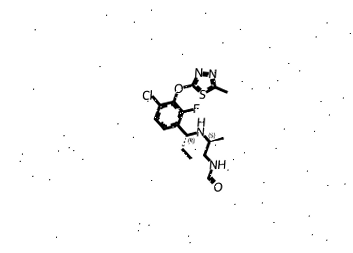 CC[C@@H](N[C@@H](C)CNC=O)c1ccc(Cl)c(Oc2nnc(C)s2)c1F